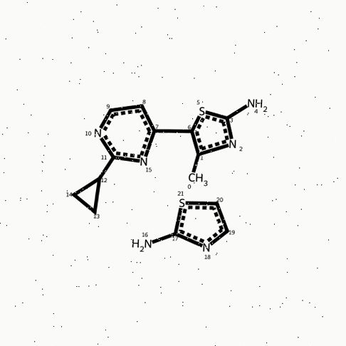 Cc1nc(N)sc1-c1ccnc(C2CC2)n1.Nc1nccs1